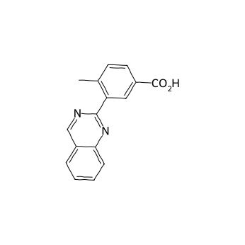 Cc1ccc(C(=O)O)cc1-c1ncc2ccccc2n1